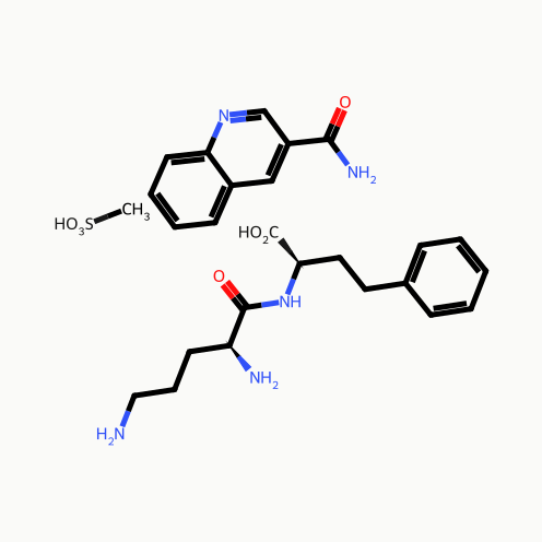 CS(=O)(=O)O.NC(=O)c1cnc2ccccc2c1.NCCC[C@H](N)C(=O)N[C@H](CCc1ccccc1)C(=O)O